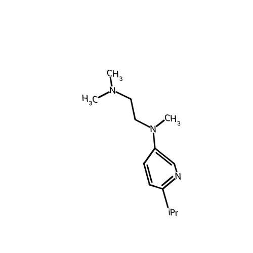 CC(C)c1ccc(N(C)CCN(C)C)cn1